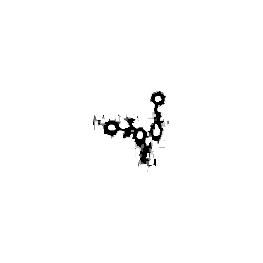 CNC(=O)c1c(-c2ccc(F)cc2)oc2cc(N(C)S(C)(=O)=O)c([C@H]3CCCN(S(=O)(=O)C=Cc4ccccc4)C3)cc12